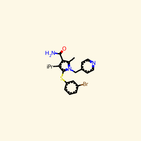 Cc1c(C(N)=O)c(C(C)C)c(Sc2cccc(Br)c2)n1Cc1ccncc1